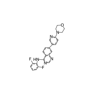 Fc1cccc(F)c1Nc1ncnc2cc(-c3ccc(N4CCOCC4)nc3)ccc12